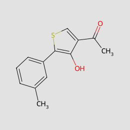 CC(=O)c1csc(-c2cccc(C)c2)c1O